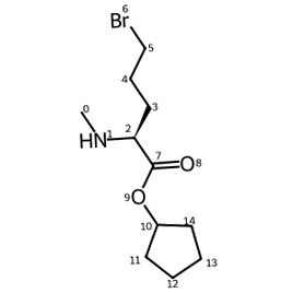 CN[C@@H](CCCBr)C(=O)OC1CCCC1